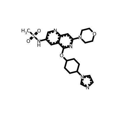 CS(=O)(=O)Nc1cnc2cc(N3CCOCC3)nc(OC3CCC(n4ccnc4)CC3)c2c1